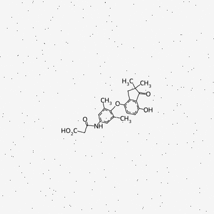 Cc1cc(NC(=O)CC(=O)O)cc(C)c1Oc1ccc(O)c2c1CC(C)(C)C2=O